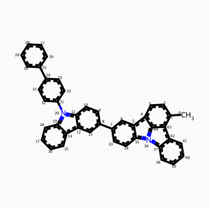 Cc1ccc2c3cc(-c4ccc5c(c4)c4ccccc4n5-c4ccc(-c5ccccc5)cc4)ccc3n3c4ccccc4c1c23